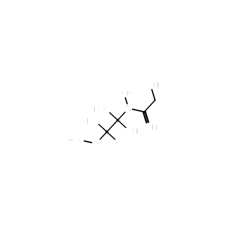 C=C(CC)N(C)C(C)(C)C(C)(C)OC